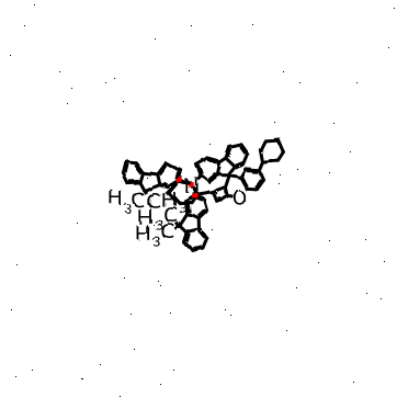 CC1(C)c2ccccc2-c2ccc(N(c3ccc4c(c3)C(C)(C)c3ccccc3-4)c3ccc4c(c3)C3(c5cc(C6CCCCC6)ccc5Oc5ccc(C6CCCCC6)cc53)c3ccccc3-4)cc21